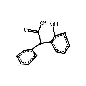 O=C(O)C(c1ccccc1)c1ccccc1O